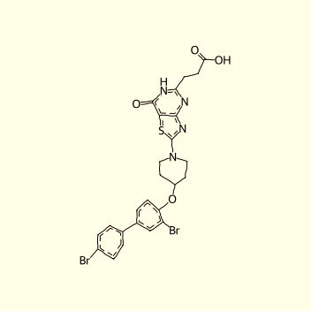 O=C(O)CCc1nc2nc(N3CCC(Oc4ccc(-c5ccc(Br)cc5)cc4Br)CC3)sc2c(=O)[nH]1